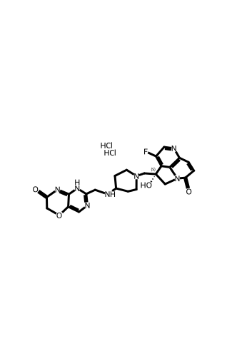 Cl.Cl.O=C1COC2=CN=C(CNC3CCN(C[C@]4(O)Cn5c(=O)ccc6ncc(F)c4c65)CC3)NC2=N1